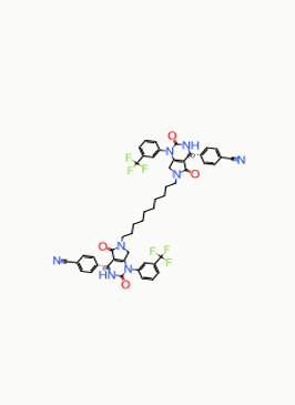 N#Cc1ccc([C@H]2NC(=O)N(c3cccc(C(F)(F)F)c3)C3=C2C(=O)N(CCCCCCCCCCN2CC4=C(C2=O)[C@@H](c2ccc(C#N)cc2)NC(=O)N4c2cccc(C(F)(F)F)c2)C3)cc1